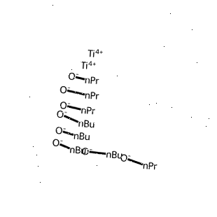 CCCC[O-].CCCC[O-].CCCC[O-].CCCC[O-].CCC[O-].CCC[O-].CCC[O-].CCC[O-].[Ti+4].[Ti+4]